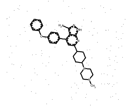 CN1CCN(C2CCC(c3cc(-c4ccc(Oc5ccccc5)cc4)c4c(N)n[nH]c4n3)CC2)CC1